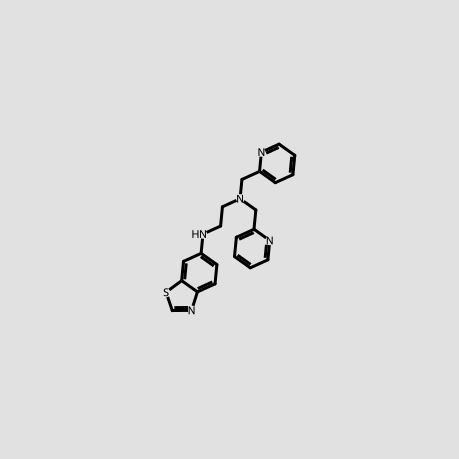 c1ccc(CN(CCNc2ccc3ncsc3c2)Cc2ccccn2)nc1